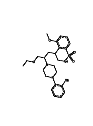 CCOCC(CC1CNS(=O)(=O)c2cccc(OC)c21)N1CCN(c2ccccc2O)CC1